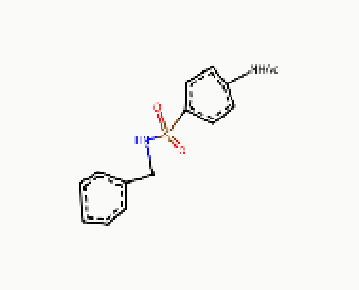 CC(=O)Nc1ccc(S(=O)(=O)NCc2ccccc2)cc1